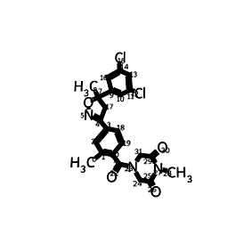 Cc1cc(C2=NOC(C)(c3cc(Cl)cc(Cl)c3)C2)ccc1C(=O)N1CC(=O)N(C)C(=O)C1